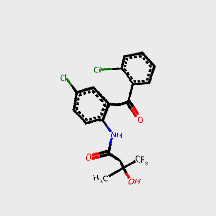 CC(O)(C(=O)Nc1ccc(Cl)cc1C(=O)c1ccccc1Cl)C(F)(F)F